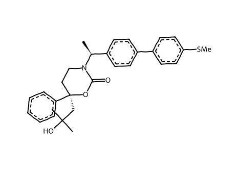 CSc1ccc(-c2ccc([C@H](C)N3CC[C@](CC(C)(C)O)(c4ccccc4)OC3=O)cc2)cc1